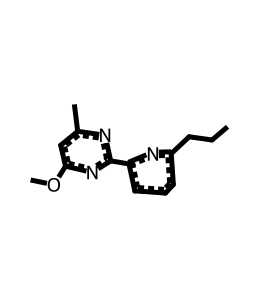 CCCc1cccc(-c2nc(C)cc(OC)n2)n1